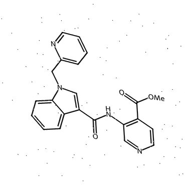 COC(=O)c1ccncc1NC(=O)c1cn(Cc2ccccn2)c2ccccc12